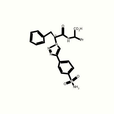 CC(C)C(NC(=O)[C@H](Cc1ccccc1)n1cc(-c2ccc(S(N)(=O)=O)cc2)nn1)C(=O)O